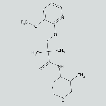 CC1CNCCC1NC(=O)C(C)(C)COc1ncccc1OC(F)(F)F